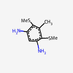 CSc1c(N)cc(N)c(SC)c1C